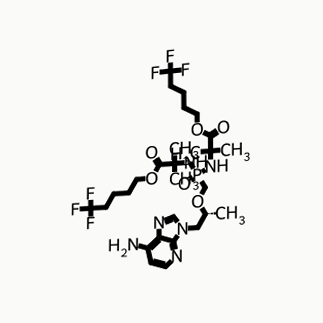 C[C@H](Cn1cnc2c(N)ccnc21)OCP(=O)(NC(C)(C)C(=O)OCCCCC(F)(F)F)NC(C)(C)C(=O)OCCCCC(F)(F)F